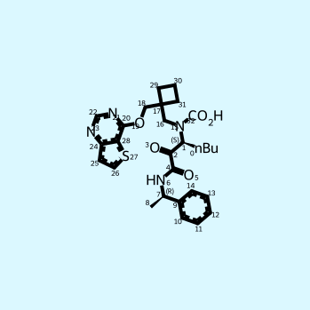 CCCC[C@@H](C(=O)C(=O)N[C@H](C)c1ccccc1)N(CC1(COc2ncnc3ccsc23)CCC1)C(=O)O